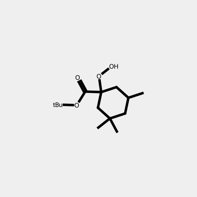 CC1CC(C)(C)CC(OO)(C(=O)OC(C)(C)C)C1